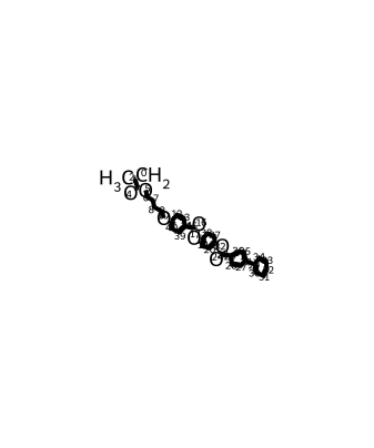 C=C(C)C(=O)OCCCCOc1ccc(C(=O)OC2=CC=C(OC(=O)c3ccc(-c4ccccc4)cc3)CC2)cc1